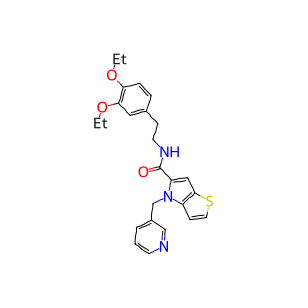 CCOc1ccc(CCNC(=O)c2cc3sccc3n2Cc2cccnc2)cc1OCC